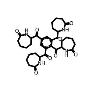 O=C1CCCCC(C(=O)c2cc(C(=O)C3CCCCC(=O)N3)c(C(=O)C3CCCCC(=O)N3)c(C(=O)C3CCCCC(=O)N3)c2)N1